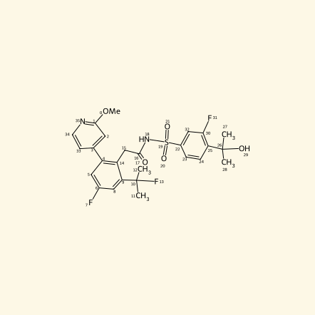 COc1cc(-c2cc(F)cc(C(C)(C)F)c2CC(=O)NS(=O)(=O)c2ccc(C(C)(C)O)c(F)c2)ccn1